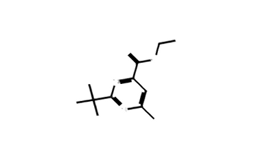 CCOC(=O)c1cc(C)nc(C(C)(C)C)n1